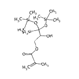 C=C(C)C(=O)OCC(O)C([SiH3])(O[Si](C)(C)C)O[Si](C)(C)C